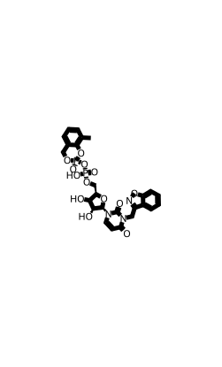 Cc1cccc2c1OP(=O)(OP(=O)(O)OC[C@H]1O[C@@H](n3ccc(=O)n(Cc4noc5ccccc45)c3=O)[C@@H](O)C1O)OC2